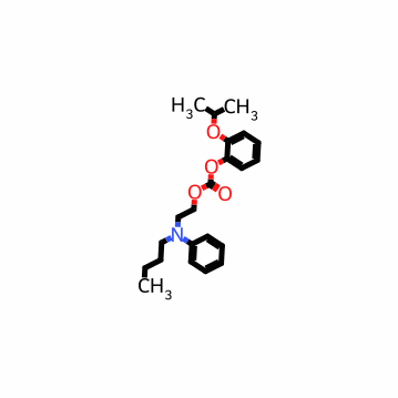 CCCCN(CCOC(=O)Oc1ccccc1OC(C)C)c1ccccc1